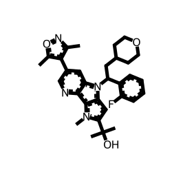 Cc1noc(C)c1-c1cnc2c3c(cc(C(C)(C)O)n3C)n(C(CC3CCOCC3)c3ccccc3F)c2c1